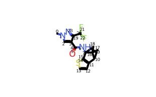 Cn1cc(C(=O)NC23CCC(c4ccsc42)C3(C)C)c(C(F)F)n1